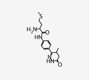 CSCC[C@H](N)C(=O)Nc1ccc(C2=NNC(=O)CC2C)cc1